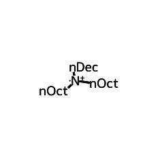 CCCCCCCCCC[N+](CCCCCCCC)CCCCCCCC